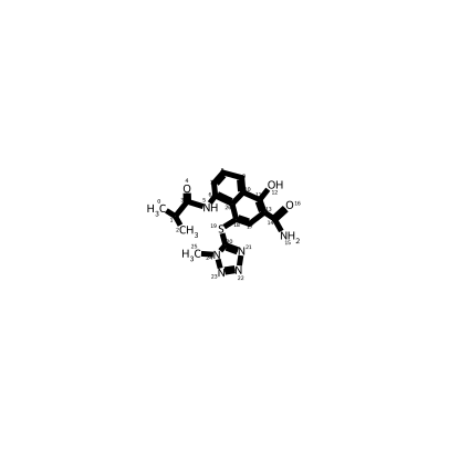 CC(C)C(=O)Nc1cccc2c(O)c(C(N)=O)cc(Sc3nnnn3C)c12